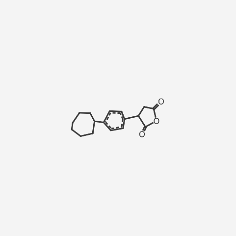 O=C1CC(c2ccc(C3CCCCCC3)cc2)C(=O)O1